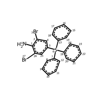 Nc1c(Br)cc(S(c2ccccc2)(c2ccccc2)c2ccccc2)cc1Br